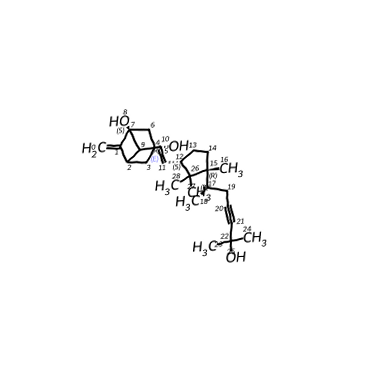 C=C1C2C[C@@H](O)C[C@]1(O)C2/C=C/[C@@H]1CC[C@](C)([C@H](C)CC#CC(C)(C)O)C1(C)C